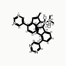 CC1=Cc2c(-c3cncnc3)cccc2[CH]1[Zr]([Cl])([Cl])([CH]1C(C)=Cc2c(-c3cncnc3)cccc21)[SiH](C)C